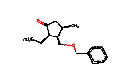 C[C@@H]1CC(=O)[C@H](CC(=O)O)[C@@H]1COCc1ccccc1